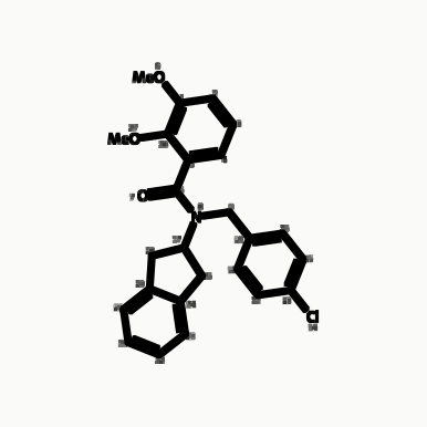 COc1cccc(C(=O)N(Cc2ccc(Cl)cc2)C2Cc3ccccc3C2)c1OC